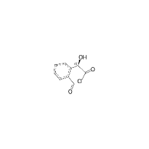 O=Cc1ccccc1[C@@H](O)C(=O)Cl